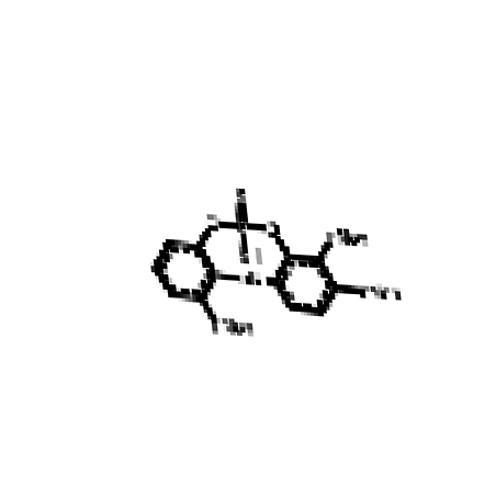 CCCCCCCCCc1cccc(OP(=S)(S)Oc2cccc(CCCCCCCCC)c2CCCCCCCCC)c1CCCCCCCCC